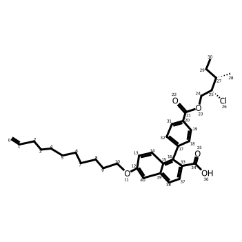 C=CCCCCCCCCCOc1ccc2c(-c3ccc(C(=O)OC[C@@H](Cl)[C@@H](C)CC)cc3)c(C(=O)O)ccc2c1